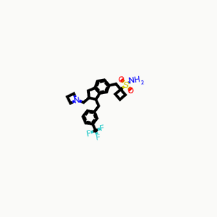 NS(=O)(=O)C1(Cc2ccc3c(c2)C(Cc2cccc(C(F)(F)F)c2)C(CN2CCC2)C3)CCC1